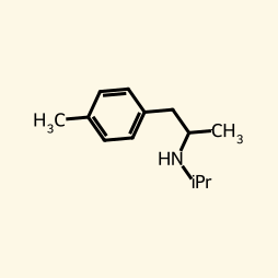 Cc1ccc(CC(C)NC(C)C)cc1